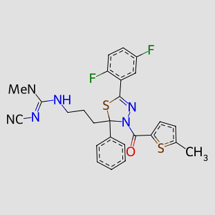 CNC(=NC#N)NCCCC1(c2ccccc2)SC(c2cc(F)ccc2F)=NN1C(=O)c1ccc(C)s1